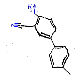 Cc1ccc(-c2ccc(N)c(C#N)c2)cc1